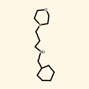 C1CCC(CNCCCN2CCOCC2)CC1